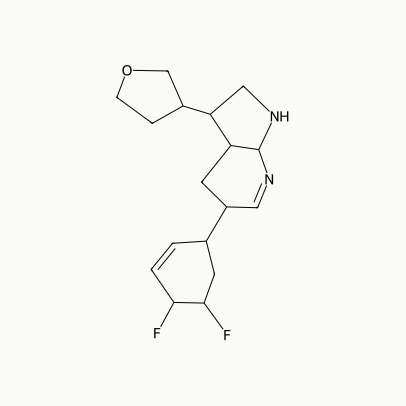 FC1C=CC(C2C=NC3NCC(C4CCOC4)C3C2)CC1F